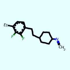 C=NC1CCC(CCc2ccc(CC)c(F)c2F)CC1